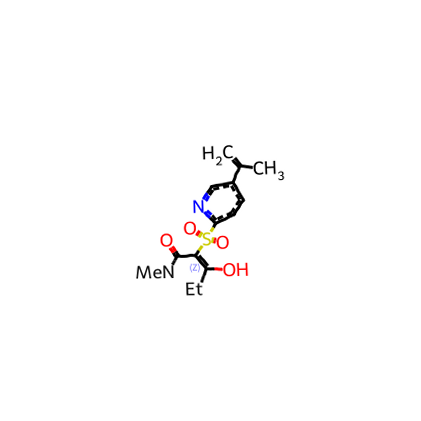 C=C(C)c1ccc(S(=O)(=O)/C(C(=O)NC)=C(\O)CC)nc1